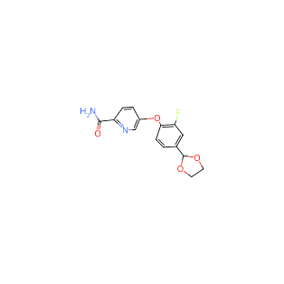 NC(=O)c1ccc(Oc2ccc(C3OCCO3)cc2F)cn1